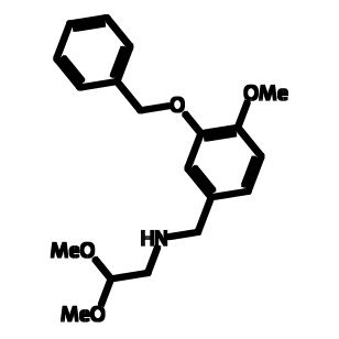 COc1ccc(CNCC(OC)OC)cc1OCc1ccccc1